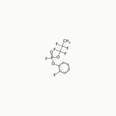 CC(F)(F)C(F)(F)OP(=O)(F)Oc1ccccc1F